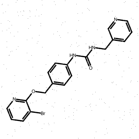 O=C(NCc1cccnc1)Nc1ccc(COc2ncccc2Br)cc1